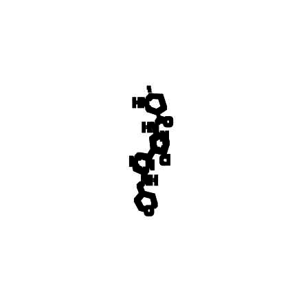 C[C@@H]1CC[C@H](C(=O)Nc2cc(-c3cncc(NCC4CCOCC4)n3)c(Cl)cn2)CN1